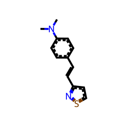 CN(C)c1ccc(C=Cc2ccsn2)cc1